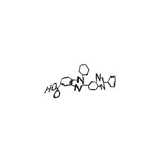 O=C(O)c1ccc2c(c1)nc(-c1ccc3nc(-c4ccccc4)cnc3c1)n2C1CCCCC1